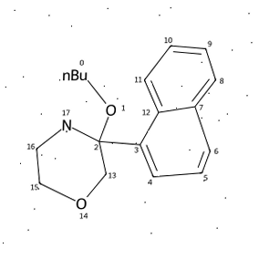 CCCCOC1(c2cccc3ccccc23)COCC[N]1